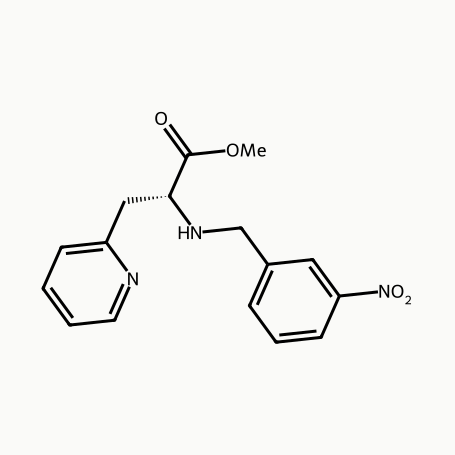 COC(=O)[C@@H](Cc1ccccn1)NCc1cccc([N+](=O)[O-])c1